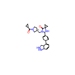 O=C(C1CC1)N1CC[C@@H](CN2C(=O)C3(CC3)NC2C2=CCC(C3=CC=CC4NNCC34)C=C2)C1